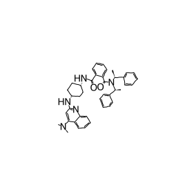 C[C@@H](c1ccccc1)N(C(=O)c1ccccc1C(=O)N[C@H]1CC[C@@H](Nc2cc(N(C)C)c3ccccc3n2)CC1)[C@@H](C)c1ccccc1